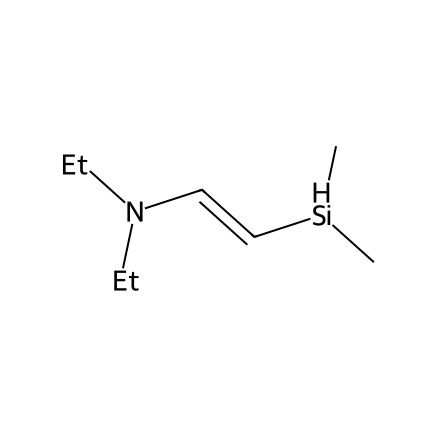 CCN(C=C[SiH](C)C)CC